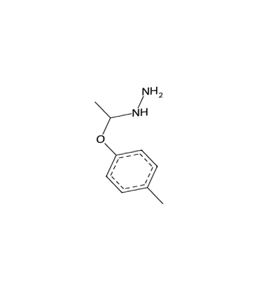 Cc1ccc(OC(C)NN)cc1